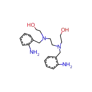 Nc1ccccc1CN(CCO)CCN(CCO)Cc1ccccc1N